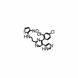 O=[N+]([O-])c1ccsc1NC[CH]c1ncc(-c2cnc[nH]2)c(-c2ccc(Cl)cc2Cl)n1